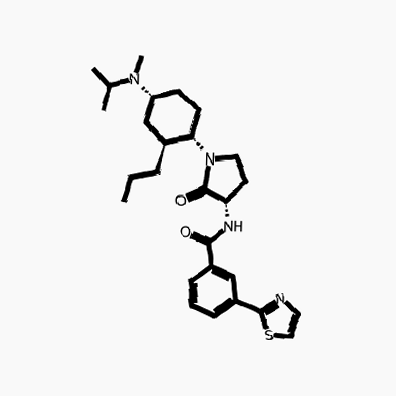 CCC[C@H]1C[C@H](N(C)C(C)C)CC[C@@H]1N1CC[C@H](NC(=O)c2cccc(-c3nccs3)c2)C1=O